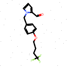 O=Cc1cccn1Cc1ccc(OCCCC(F)(F)F)cc1